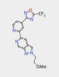 COCCn1cc2cc(-c3cc(-c4noc(C(F)(F)F)n4)ccn3)ncc2n1